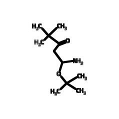 CC(C)(C)OC(N)CC(=O)C(C)(C)C